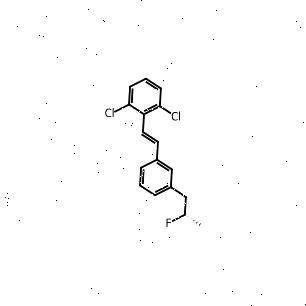 C[C@H](F)Cc1cccc(/C=C/c2c(Cl)cccc2Cl)c1